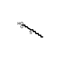 CCCCCCCCCCCCCCCC(=O)O.[Ti]